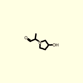 CC(C=O)N1CCC(O)C1